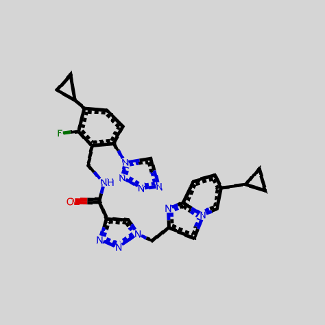 O=C(NCc1c(-n2cnnn2)ccc(C2CC2)c1F)c1cn(Cc2cn3cc(C4CC4)ccc3n2)nn1